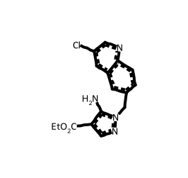 CCOC(=O)c1cnn(Cc2ccc3ncc(Cl)cc3c2)c1N